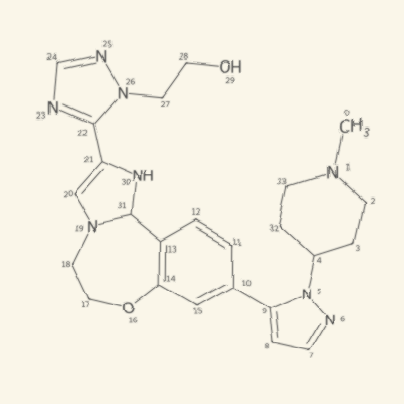 CN1CCC(n2nccc2-c2ccc3c(c2)OCCN2C=C(c4ncnn4CCO)NC32)CC1